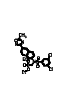 CCOP(=O)(CN(c1ccc2cc(-c3noc(C)n3)ccc2c1)S(=O)(=O)c1cc(Cl)cc(Cl)c1)OCC